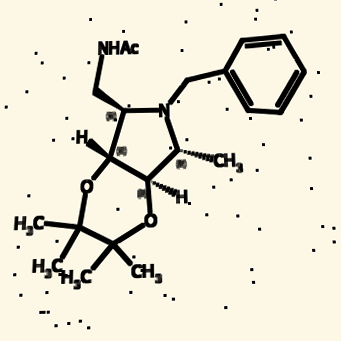 CC(=O)NC[C@@H]1[C@H]2OC(C)(C)C(C)(C)O[C@@H]2[C@@H](C)N1Cc1ccccc1